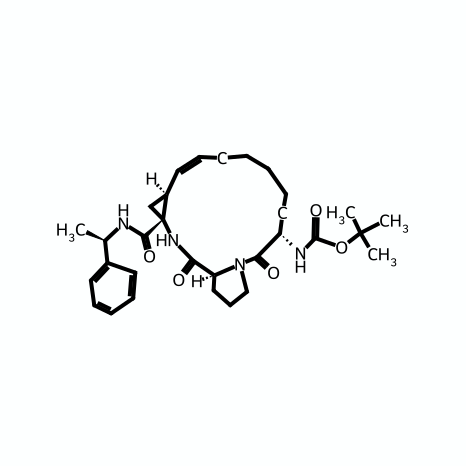 C[C@@H](NC(=O)[C@@]12C[C@H]1/C=C\CCCCC[C@H](NC(=O)OC(C)(C)C)C(=O)N1CCC[C@H]1C(=O)N2)c1ccccc1